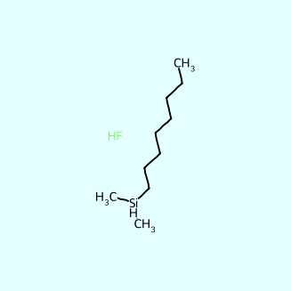 CCCCCCCC[SiH](C)C.F